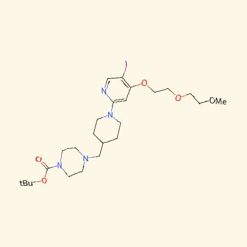 COCCOCCOc1cc(N2CCC(CN3CCN(C(=O)OC(C)(C)C)CC3)CC2)ncc1I